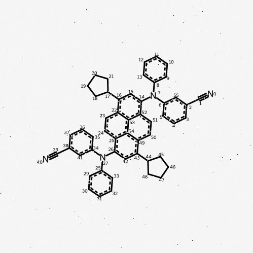 N#Cc1cccc(N(c2ccccc2)c2cc(C3CCCC3)c3ccc4c(N(c5ccccc5)c5cccc(C#N)c5)cc(C5CCCC5)c5ccc2c3c54)c1